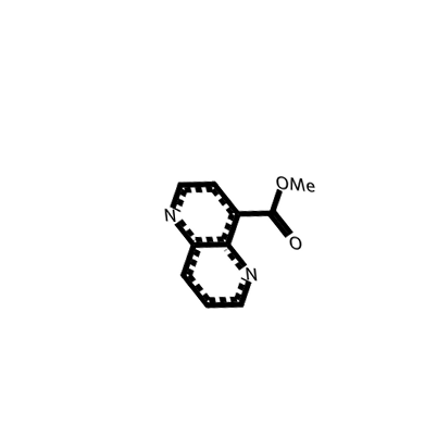 COC(=O)c1ccnc2cccnc12